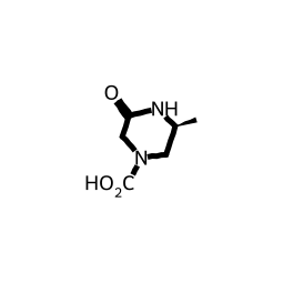 C[C@H]1CN(C(=O)O)CC(=O)N1